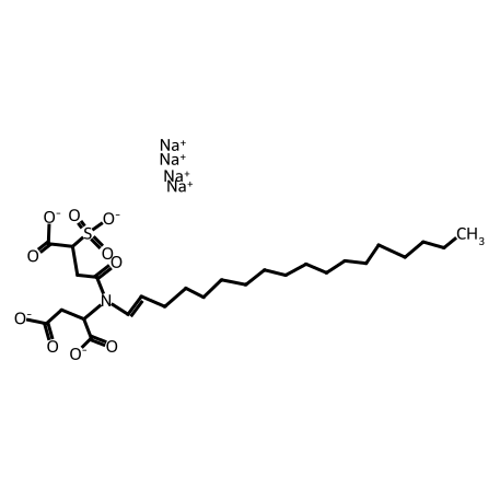 CCCCCCCCCCCCCCCCC=CN(C(=O)CC(C(=O)[O-])S(=O)(=O)[O-])C(CC(=O)[O-])C(=O)[O-].[Na+].[Na+].[Na+].[Na+]